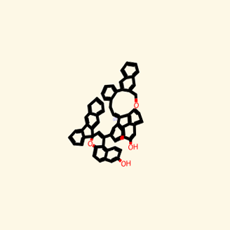 Oc1ccc2c3c(ccc2c1)OC1(C=C3c2cccc(/C3=C/Cc4ccccc4-c4cc5ccccc5cc4COc4ccc5cc(O)ccc5c43)c2)c2ccccc2-c2cc3ccccc3cc21